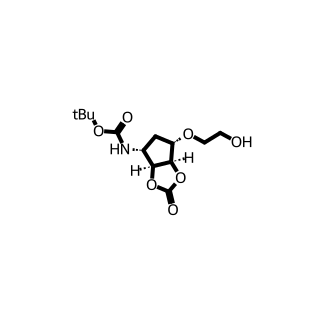 CC(C)(C)OC(=O)N[C@@H]1C[C@H](OCCO)[C@H]2OC(=O)O[C@H]21